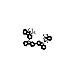 CC1(C)c2ccccc2-c2cc(-n3c4ccccc4c4ccc(-c5ccc6c(c5)c5ccccc5n6-c5nc(C#N)c6ccccc6n5)cc43)ccc21